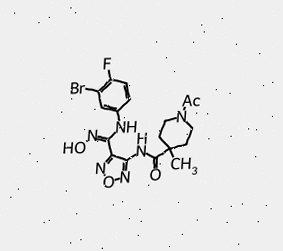 CC(=O)N1CCC(C)(C(=O)Nc2nonc2/C(=N\O)Nc2ccc(F)c(Br)c2)CC1